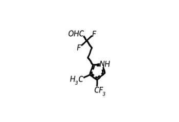 Cc1c(C(F)(F)F)c[nH]c1CCC(F)(F)C=O